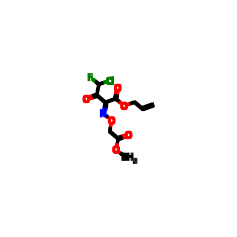 BOC(=O)CO/N=C(\C(=O)OCC=C)C(=O)C(F)Cl